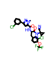 Cn1nc(-c2cccc(Cl)c2)cc1C(=O)NC(Cc1ccc(OC(F)(F)F)c(Cl)c1)C(=O)NC1(C#N)CC1